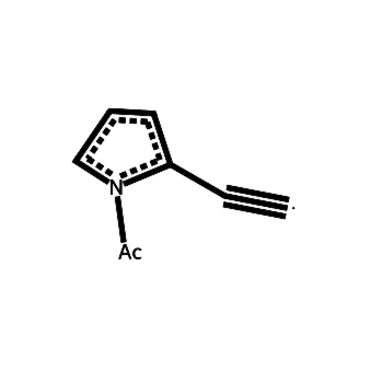 [C]#Cc1cccn1C(C)=O